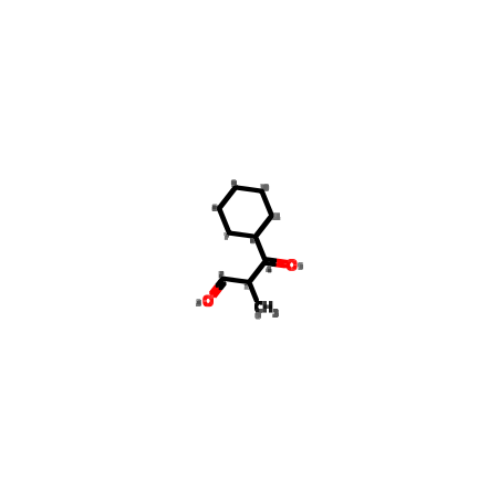 CC(C=O)C(=O)C1CCCCC1